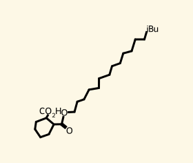 CCC(C)CCCCCCCCCCCCCOC(=O)C1CCCCC1C(=O)O